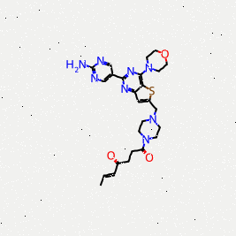 CC=CC(=O)CCC(=O)N1CCN(Cc2cc3nc(-c4cnc(N)nc4)nc(N4CCOCC4)c3s2)CC1